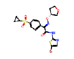 O=C(Nc1ncc(Br)s1)/C(=N/O[C@@H]1CCOC1)c1ccc(S(=O)(=O)C2CC2)cc1